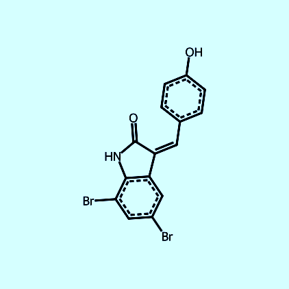 O=C1Nc2c(Br)cc(Br)cc2C1=Cc1ccc(O)cc1